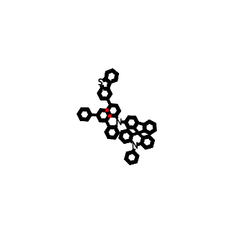 c1ccc(-c2cccc(-c3ccccc3N(c3ccc(-c4ccc5sc6ccccc6c5c4)cc3)c3ccc4c(c3)C3(c5ccccc5-4)c4ccccc4N(c4ccccc4)c4ccccc43)c2)cc1